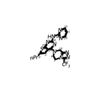 CCCc1cc2c(N3CCn4c(nnc4C(F)(F)F)C3)nc(Nc3ncccn3)nc2s1